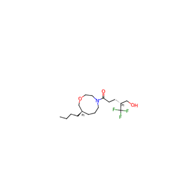 CCCC[C@@H]1CCCN(C(=O)CC[C@H](CO)C(F)(F)F)CCOC1